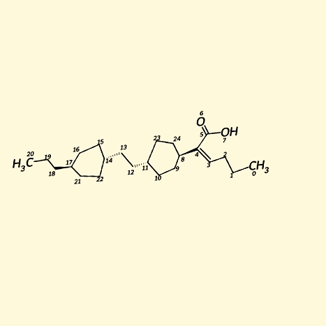 CCCC=C(C(=O)O)[C@H]1CC[C@H](CC[C@H]2CC[C@H](CCC)CC2)CC1